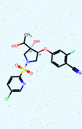 CC(O)[C@]1(O)CN(S(=O)(=O)c2ccc(Cl)cn2)C[C@@H]1Oc1ccc(C#N)c(F)c1